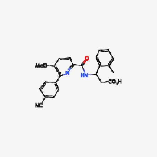 COc1ccc(C(=O)NC(CC(=O)O)c2ccccc2C)nc1-c1ccc(C#N)cc1